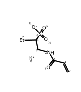 C=CC(=O)NCC(CC)S(=O)(=O)[O-].[K+]